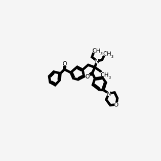 CCN(CC)C(CC)(Cc1cccc(C(=O)c2ccccc2)c1)C(=O)c1ccc(N2CCOCC2)cc1